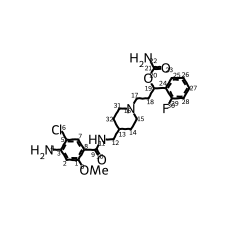 COc1cc(N)c(Cl)cc1C(=O)NCC1CCN(CCC(OC(N)=O)c2ccccc2F)CC1